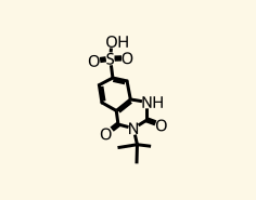 CC(C)(C)n1c(=O)[nH]c2cc(S(=O)(=O)O)ccc2c1=O